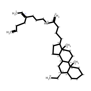 C=CCC/C(=C\C)CCCNC(=C)CCCC1CCC2C3C[C@H](CC)C4CCCCC4(C)C3CCC12C